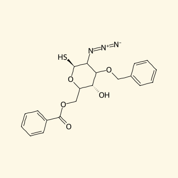 [N-]=[N+]=NC1C(OCc2ccccc2)[C@H](O)C(COC(=O)c2ccccc2)O[C@H]1S